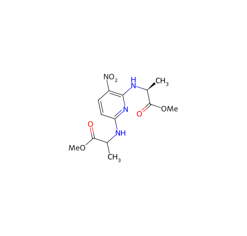 COC(=O)C(C)Nc1ccc([N+](=O)[O-])c(N[C@@H](C)C(=O)OC)n1